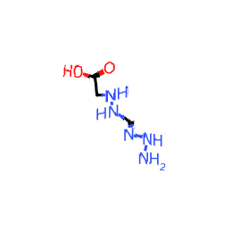 NNN=CNNCC(=O)O